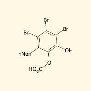 CCCCCCCCCc1c(Br)c(Br)c(Br)c(O)c1OC(=O)O